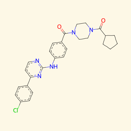 O=C(c1ccc(Nc2nccc(-c3ccc(Cl)cc3)n2)cc1)N1CCN(C(=O)C2CCCC2)CC1